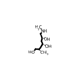 CNC[C@H](O)C[C@H](O)[C@H](C)CO